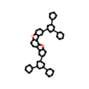 c1ccc(-c2cc(-c3ccccc3)cc(-c3ccc4oc5c(ccc6oc7ccc(-c8cc(-c9ccccc9)cc(-c9ccccc9)c8)cc7c65)c4c3)c2)cc1